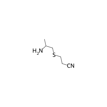 CC(N)CSCCC#N